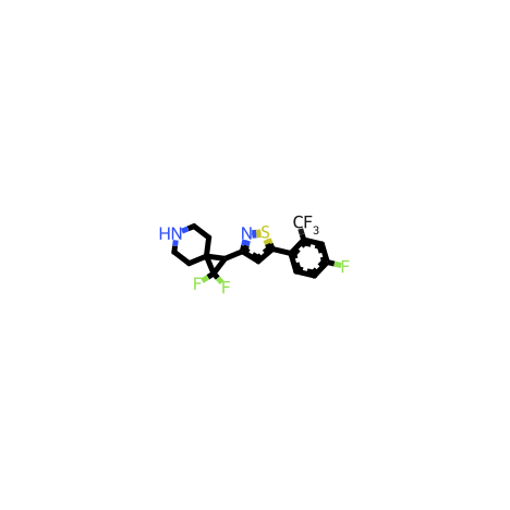 Fc1ccc(-c2cc(C3C(F)(F)C34CCNCC4)ns2)c(C(F)(F)F)c1